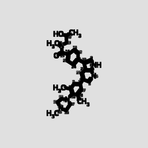 Cc1cc(-c2cnc3[nH]cc(-c4ccc(C(=O)N(C)CC(C)O)cc4)c3c2)cc(C)c1N1CCN(C)CC1